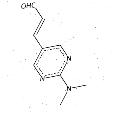 CN(C)c1ncc(/C=C/C=O)cn1